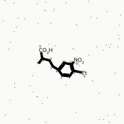 CCc1ccc(CCC(C)C(=O)O)cc1[N+](=O)[O-]